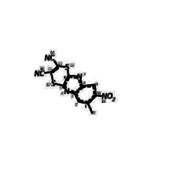 Cc1cc2nc3c(nc2cc1[N+](=O)[O-])SC(C#N)=C(C#N)S3